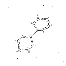 [c]1cc(-c2cccnc2)ncn1